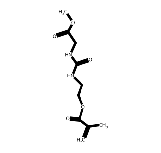 C=C(C)C(=O)OCCNC(=O)NCC(=O)OC